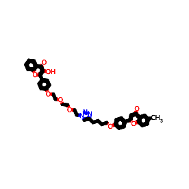 Cc1ccc2oc(-c3ccc(OCCCCc4cn(CCOCCOCCOc5ccc(-c6oc7ccccc7c(=O)c6O)cc5)nn4)cc3)cc(=O)c2c1